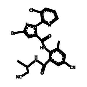 Cc1cc(C#N)cc(C(=O)NC(C)CC#N)c1NC(=O)c1cc(Br)nn1-c1ncccc1Cl